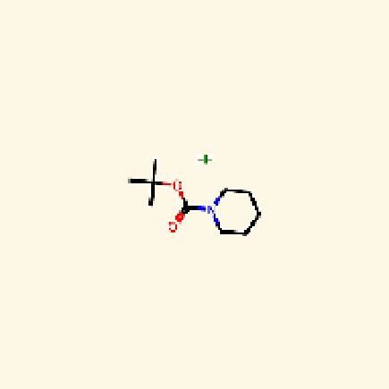 CC(C)(C)OC(=O)N1CCCCC1.F